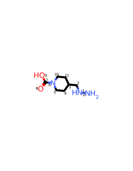 NNCC1CCN(C(=O)O)CC1